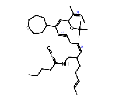 CC=CCCC(/C=C\C/C=C/C(=CC(OC(C)(C)C)/C(C)=C\C)C1CCCOCC1)CNC(=C=O)CCCC